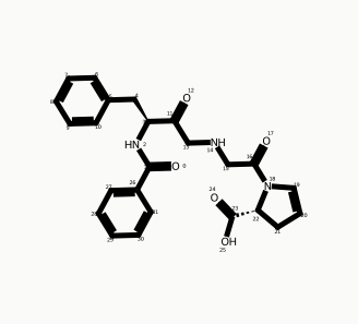 O=C(N[C@@H](Cc1ccccc1)C(=O)CNCC(=O)N1C=CC[C@@H]1C(=O)O)c1ccccc1